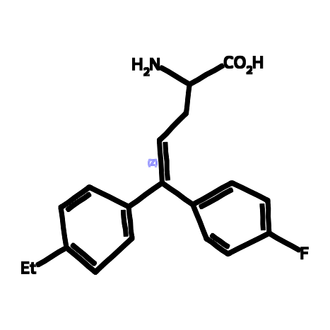 CCc1ccc(/C(=C/CC(N)C(=O)O)c2ccc(F)cc2)cc1